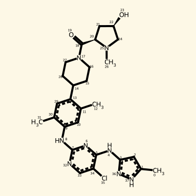 Cc1cc(Nc2nc(Nc3cc(C)c(C4CCN(C(=O)[C@H]5C[C@@H](O)CN5C)CC4)cc3C)ncc2Cl)n[nH]1